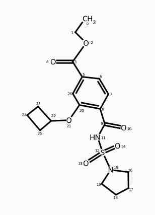 CCOC(=O)c1ccc(C(=O)NS(=O)(=O)N2CCCC2)c(OC2CCC2)c1